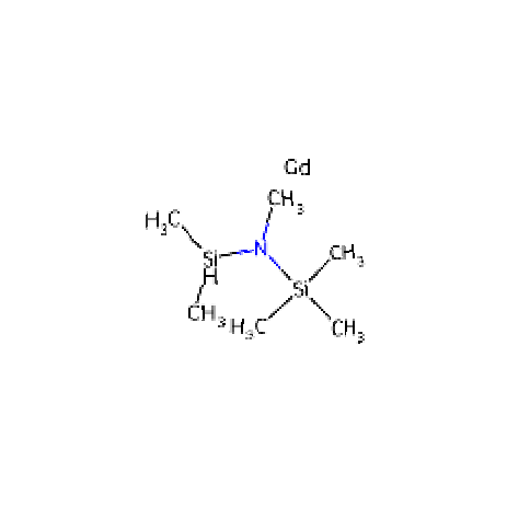 CN([SiH](C)C)[Si](C)(C)C.[Gd]